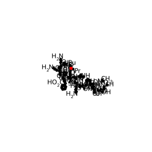 CC[C@H](C)[C@H](NC(=O)[C@H](CC(C)C)NC(=O)CNC(=O)[C@H](CS)NC(=O)[C@H](Cc1c[nH]cn1)NC(=O)[C@H](CCCCN)NC(=O)[C@H](CO)NC(=O)[C@@H]1CCCN1C(=O)[C@H](CO)NC(=O)[C@H](CO)NC(=O)[C@H](CO)NC(=O)[C@H](CS)NC(=O)[C@H](C)N)C(=O)N[C@@H](CCCCN)C(=O)N[C@@H](CCCCN)C(=O)N1CCC[C@H]1C(=O)N[C@@H](Cc1ccccc1)C(=O)O